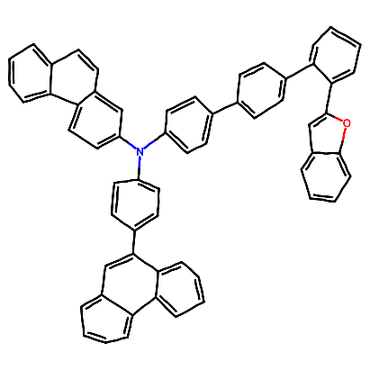 c1ccc(-c2cc3ccccc3o2)c(-c2ccc(-c3ccc(N(c4ccc(-c5cc6ccccc6c6ccccc56)cc4)c4ccc5c(ccc6ccccc65)c4)cc3)cc2)c1